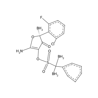 BC(B)(c1ccccc1)S(=O)(=O)OC1=C(N)O[C@@](B)(c2c(F)cccc2Cl)C1=O